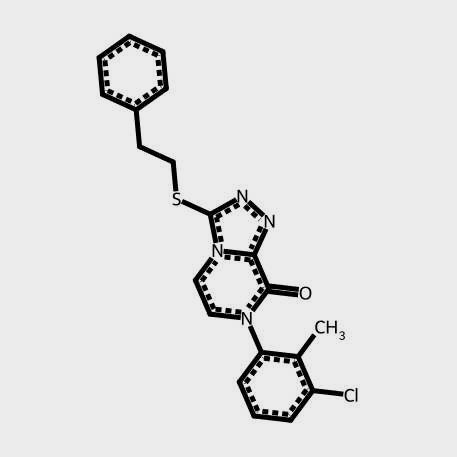 Cc1c(Cl)cccc1-n1ccn2c(SCCc3ccccc3)nnc2c1=O